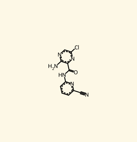 N#Cc1cccc(NC(=O)c2nc(Cl)cnc2N)n1